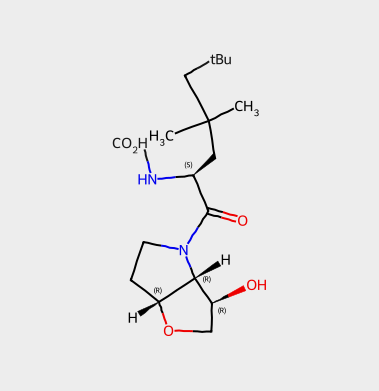 CC(C)(C)CC(C)(C)C[C@H](NC(=O)O)C(=O)N1CC[C@H]2OC[C@H](O)[C@H]21